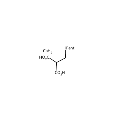 CCCC(C)CC(C(=O)O)C(=O)O.[CaH2]